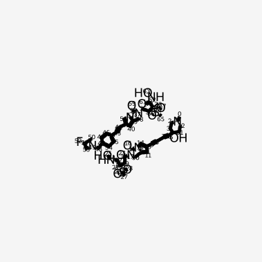 CN1CCC(O)(C#CC#Cc2cc3n(c2)C(=O)N(CC[C@](C)(C(=O)NO)S(C)(=O)=O)C3)CC1.C[C@@](CCN1Cc2cc(C#Cc3ccc(CN4CC(F)C4)cc3)cn2C1=O)(C(=O)NO)S(C)(=O)=O